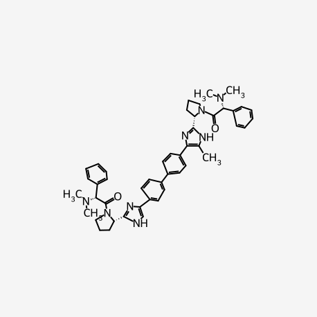 Cc1[nH]c([C@@H]2CCCN2C(=O)[C@@H](c2ccccc2)N(C)C)nc1-c1ccc(-c2ccc(-c3c[nH]c([C@@H]4CCCN4C(=O)[C@@H](c4ccccc4)N(C)C)n3)cc2)cc1